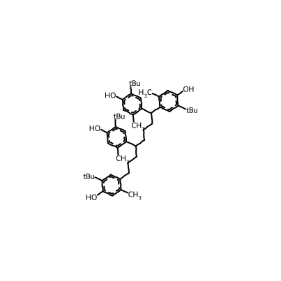 Cc1cc(O)c(C(C)(C)C)cc1CCCC(CCCC(c1cc(C(C)(C)C)c(O)cc1C)c1cc(C(C)(C)C)c(O)cc1C)c1cc(C(C)(C)C)c(O)cc1C